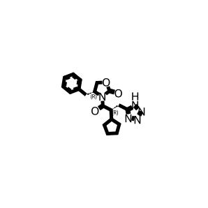 O=C1OC[C@@H](Cc2ccccc2)N1C(=O)[C@H](Cc1nnn[nH]1)C1CCCC1